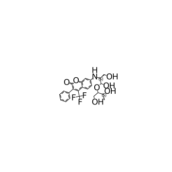 C[C@H](O)C(CO)OC(O)[C@H](CO)Nc1ccc2c(C(F)(F)F)c(-c3ccccc3)c(=O)oc2c1